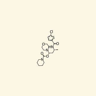 C[C@@H](CC(OC(=O)N1CCCCC1)N1CCOCC1)NC(=O)c1ccc(Cl)s1